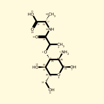 CC(O[C@@H]1[C@@H](N)[C@@H](O)O[C@H](CO)[C@H]1O)C(=O)N[C@@H](C)C(=O)O